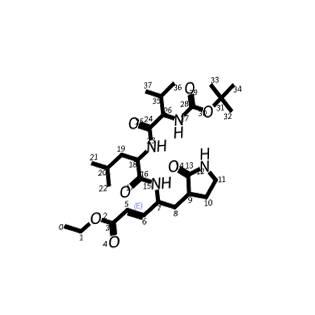 CCOC(=O)/C=C/C(CC1CCNC1=O)NC(=O)C(CC(C)C)NC(=O)C(NC(=O)OC(C)(C)C)C(C)C